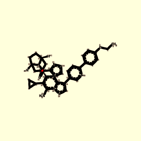 CCOc1ccc(-c2ccc(-c3cnn4c(N)c(C5CC5)c([C@H]5C[C@H]6CC[C@@H](C5)N6C(=O)c5nnc[nH]5)nc34)cn2)cc1